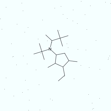 CCC1C(C)CC(N(C(C)C(C)(C)C)C(C)(C)C)C1C